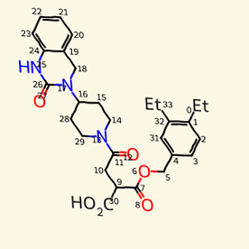 CCc1ccc(COC(=O)C(CC(=O)N2CCC(N3Cc4ccccc4NC3=O)CC2)C(=O)O)cc1CC